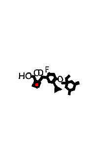 C=C1CC(C)CC(CC)(COc2cc(F)c(C(=O)N3CC4CC3(C(=O)O)C4)cc2C2CC2)C1